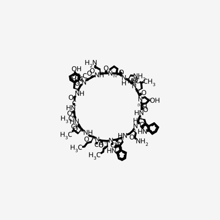 CCCC[C@H]1C(=O)N(C)[C@@H](CCCC)C(=O)N[C@@H](CC(C)C)C(=O)N[C@H](C)C(=O)NCC(=O)N[C@@H](Cc2ccc(O)cc2)C(=O)N(C)[C@@H](C)C(=O)N[C@@H](CC(N)=O)C(=O)N2CCC[C@H]2C(=O)N[C@@H](CN)C(=O)N[C@@H](CC(C)C)C(=O)N2C[C@H](O)C[C@H]2C(=O)N[C@@H](Cc2c[nH]c3ccccc23)C(=O)N[C@@H](CCN)C(=O)N[C@@H](Cc2c[nH]c3ccccc23)C(=O)N1C